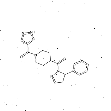 O=C(c1cn[nH]c1)N1CCC(C(=O)N2N=CCC2c2ccccc2)CC1